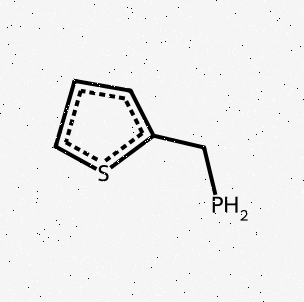 PCc1cccs1